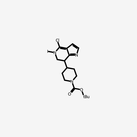 CC(C)(C)OC(=O)N1CCC(C2CN(I)C(Cl)=C3C=CN=C32)CC1